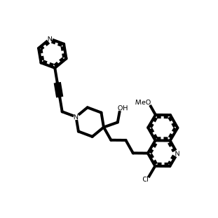 COc1ccc2ncc(Cl)c(CCCC3(CO)CCN(CC#Cc4ccncc4)CC3)c2c1